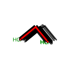 Cl.Cl.Cl.[Mg+2].[Mg+2].[Mg+2].[Mg+2].[Mg+2].[Mg+2].[Mg+2].[Mg+2].[Mg+2].[Mg+2].[Mg+2].[Mg+2].[Mg+2].[Mg+2].[Mg+2].[Mg+2].[Mg+2].[Mg+2].[Mg+2].[Mg+2].[Mg+2].[Mg+2].[Mg+2].[Mg+2].[Mg+2].[Mg+2].[Mg+2].[Mg+2].[Mg+2].[Mg+2].[Mg+2].[Mg+2].[Mg+2].[Mg+2].[Mg+2].[Mg+2].[Mg+2].[Mg+2].[Mg+2].[Mg+2].[Mg+2].[Mg+2].[Mg+2].[Mg+2].[Mg+2].[Mg+2].[Mg+2].[Mg+2].[Mg+2].[Mg+2].[Mg+2].[Mg+2].[Mg+2].[Mg+2].[Mg+2].[Mg+2]